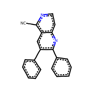 N#Cc1nccc2nc(-c3ccccc3)c(-c3ccccc3)cc12